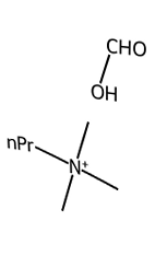 CCC[N+](C)(C)C.O=CO